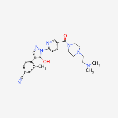 Cc1cc(C#N)ccc1-c1cnn(-c2ccc(C(=O)N3CCN(CCN(C)C)CC3)cn2)c1O